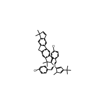 CC1C=C(C(C)(C)C)C=[C]1[Zr](=[CH]c1ccc(Cl)cc1)(=[CH]c1ccc(Cl)cc1)[C]1=Cc2cc3c(cc2C1(C)C)Cc1cc2c(cc1-3)C=CC2(C)C